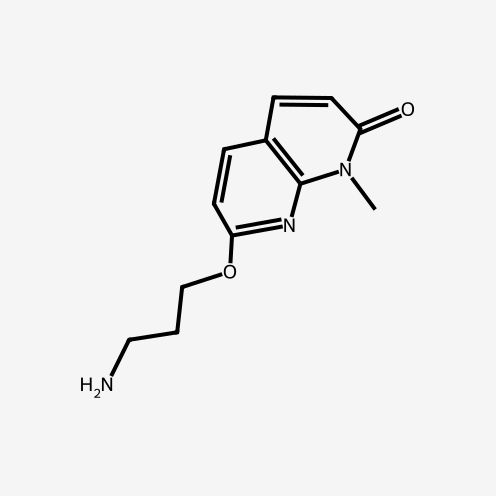 Cn1c(=O)ccc2ccc(OCCCN)nc21